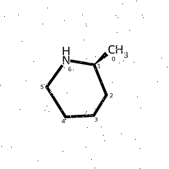 C[C@H]1CC[CH]CN1